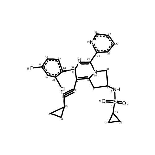 O=S(=O)(NC1CC2=C(C#CC3CC3)[C@@H](c3ccc(F)cc3Cl)N=C(c3ccccn3)N2C1)C1CC1